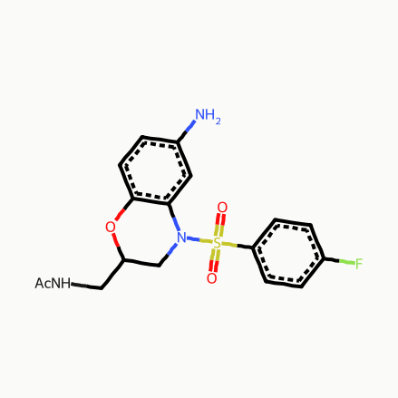 CC(=O)NCC1CN(S(=O)(=O)c2ccc(F)cc2)c2cc(N)ccc2O1